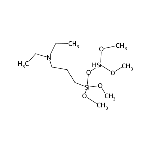 CCN(CC)CCC[Si](OC)(OC)O[SiH](OC)OC